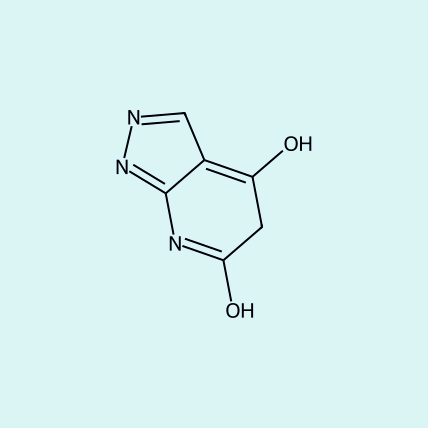 OC1=NC2=NN=CC2=C(O)C1